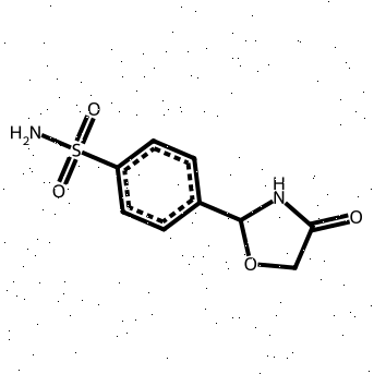 NS(=O)(=O)c1ccc(C2NC(=O)CO2)cc1